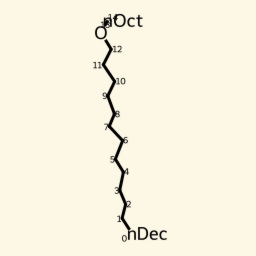 CCCCCCCCCCCCCCCCCCCCCCOCCCCCCCC